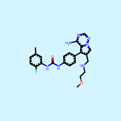 COCCNCc1cn2ncnc(N)c2c1-c1ccc(NC(=O)Nc2cc(C)ccc2F)cc1